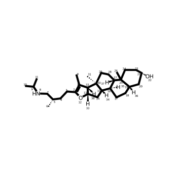 CC1=C(CC[C@H](C)CNC(C)C)O[C@H]2C[C@H]3[C@@H]4CC[C@H]5C[C@@H](O)CCC5(C)[C@H]4CC[C@]3(C)[C@@H]12